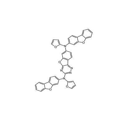 c1coc(N(c2ccc3c(c2)oc2ccccc23)c2ccc3c(c2)oc2nc(N(c4ccc5c(c4)oc4ccccc45)c4ccco4)nnc23)c1